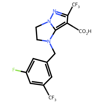 O=C(O)c1c(C(F)(F)F)nn2c1N(Cc1cc(F)cc(C(F)(F)F)c1)CC2